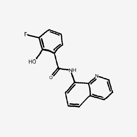 O=C(Nc1cccc2cccnc12)c1cccc(F)c1O